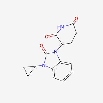 O=C1CCC(n2c(=O)n(C3CC3)c3ccccc32)C(=O)N1